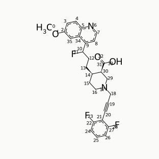 COc1ccc2nccc(C(F)CC[C@@H]3CCN(CC#Cc4c(F)cccc4F)C[C@@H]3C(=O)O)c2c1